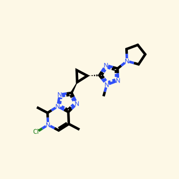 CC1=CN(Cl)C(C)n2nc([C@H]3C[C@@H]3c3nc(N4CCCC4)nn3C)nc21